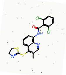 Cc1cnc2c(NC(=O)c3c(Cl)cccc3Cl)cccc2c1SC1=NCCS1